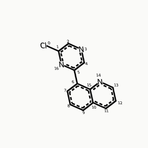 Clc1cncc(-c2cccc3cccnc23)n1